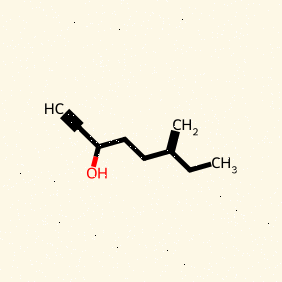 C#CC(O)CCC(=C)CC